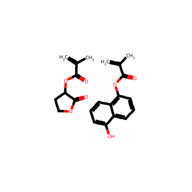 C=C(C)C(=O)OC1CCOC1=O.C=C(C)C(=O)Oc1cccc2c(O)cccc12